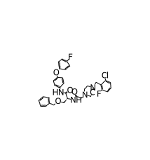 O=C(CN1CCN(Cc2c(F)cccc2Cl)CC1)N[C@@H](COCc1ccccc1)C(=O)Nc1ccc(Oc2ccc(F)cc2)cc1